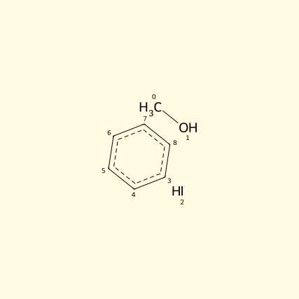 CO.I.c1ccccc1